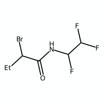 CCC(Br)C(=O)NC(F)C(F)F